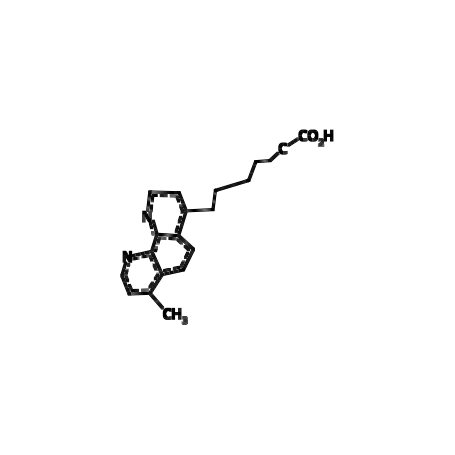 Cc1ccnc2c1ccc1c(CCCCCCC(=O)O)ccnc12